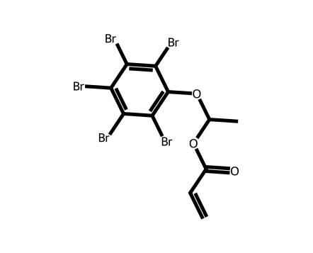 C=CC(=O)OC(C)Oc1c(Br)c(Br)c(Br)c(Br)c1Br